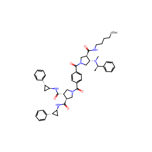 CCCCCCCCCCCCCCNC(=O)[C@@H]1CN(C(=O)c2ccc(C(=O)N3C[C@@H](C(=O)N[C@H]4C[C@@H]4c4ccccc4)[C@H](C(=O)N[C@H]4C[C@@H]4c4ccccc4)C3)cc2)C[C@H]1N(C)[C@H](C)c1ccccc1